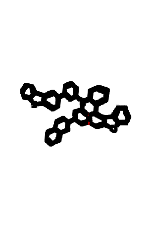 c1cc(-c2ccc3ccccc3c2)cc(N(c2cccc(-c3ccc4sc5ccccc5c4c3)c2)c2ccccc2-c2cccc3oc4ccccc4c23)c1